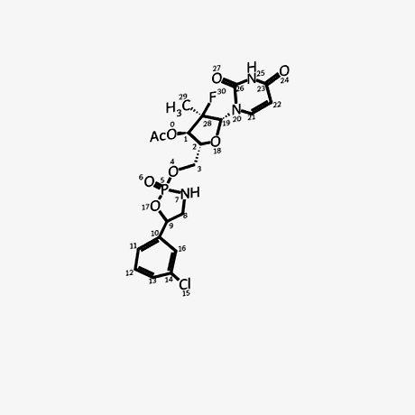 CC(=O)O[C@@H]1[C@@H](COP2(=O)NCC(c3cccc(Cl)c3)O2)O[C@@H](n2ccc(=O)[nH]c2=O)[C@]1(C)F